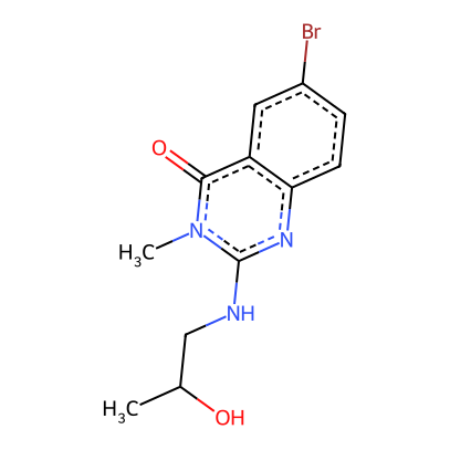 CC(O)CNc1nc2ccc(Br)cc2c(=O)n1C